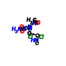 C[C@H]1COCCN1CCCn1nc(-c2ccc(Cl)c(C#CC3C=C(CNC4CCCC4)C(Cl)=CC3)c2)c2c1CCN(C(=O)C(N)=O)C2